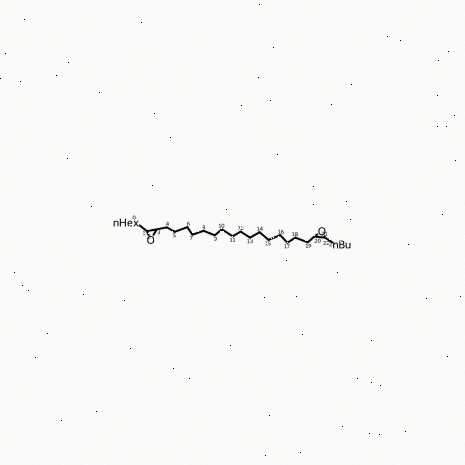 CCCCCCC1OC1CCCCCCCCCCCCCCCCC1OC1CCCC